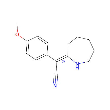 COc1ccc(/C(C#N)=C2\CCCCCN2)cc1